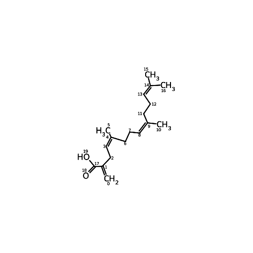 C=C(CC=C(C)CCC=C(C)CCC=C(C)C)C(=O)O